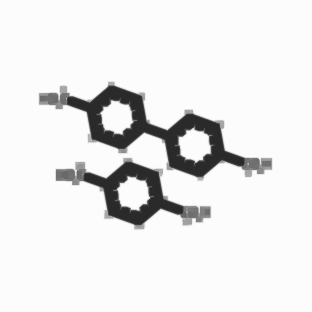 O=C(O)c1ccc(-c2ccc(C(=O)O)cc2)cc1.O=C(O)c1ccc(C(=O)O)cc1